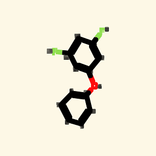 Fc1[c]c(Oc2ccccc2)cc(F)c1